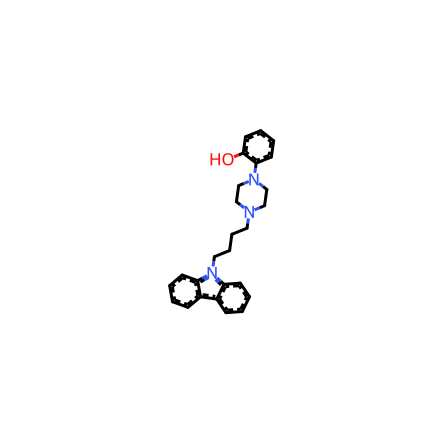 Oc1ccccc1N1CCN(CCCCn2c3ccccc3c3ccccc32)CC1